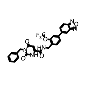 O=C(NCc1ccc(-c2ccc3nonc3c2)cc1OC(F)(F)F)c1cc(=O)n(Cc2ccccc2)c(=O)[nH]1